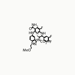 COCCn1ncc2cc(Nc3nc(N[C@H](c4ccc(F)c(F)c4)[C@H](C)NC(=O)O)c(F)cc3C(N)=O)ccc21